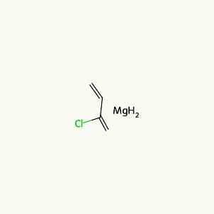 C=CC(=C)Cl.[MgH2]